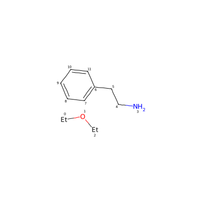 CCOCC.NCCc1ccccc1